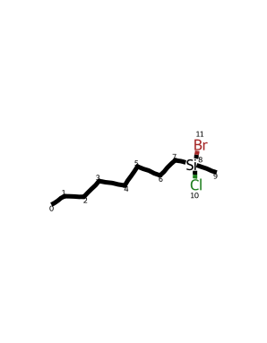 CCCCCCCC[Si](C)(Cl)Br